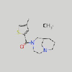 Cc1csc(C(=O)N2CCN3CCCC(C3)C2)c1.[CH2]